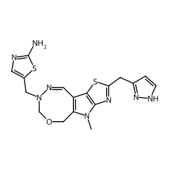 Cn1c2c(c3sc(Cc4cc[nH]n4)nc31)/C=N\N(Cc1cnc(N)s1)COC2